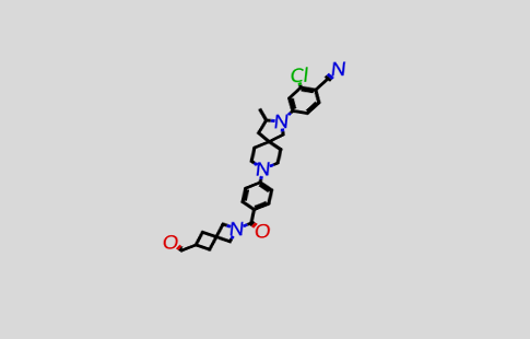 CC1CC2(CCN(c3ccc(C(=O)N4CC5(CC(C=O)C5)C4)cc3)CC2)CN1c1ccc(C#N)c(Cl)c1